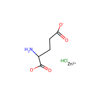 Cl.NC(CCC(=O)[O-])C(=O)[O-].[Zn+2]